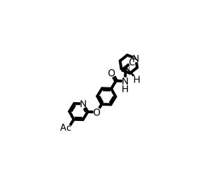 CC(=O)c1ccnc(Oc2ccc(C(=O)N[C@H]3CN4CCC3CC4)cc2)c1